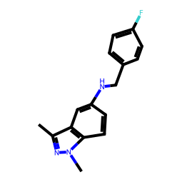 Cc1nn(C)c2ccc(NCc3ccc(F)cc3)cc12